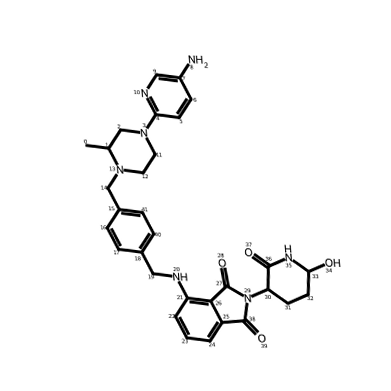 CC1CN(c2ccc(N)cn2)CCN1Cc1ccc(CNc2cccc3c2C(=O)N(C2CCC(O)NC2=O)C3=O)cc1